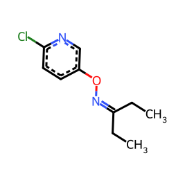 CCC(CC)=NOc1ccc(Cl)nc1